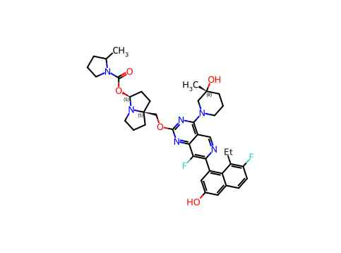 CCc1c(F)ccc2cc(O)cc(-c3ncc4c(N5CCC[C@@](C)(O)C5)nc(OC[C@@]56CCCN5[C@@H](OC(=O)N5CCCC5C)CC6)nc4c3F)c12